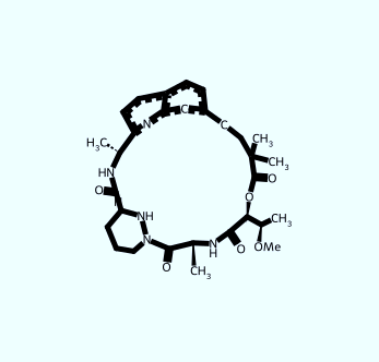 CO[C@H](C)[C@@H]1OC(=O)C(C)(C)CCc2ccc3ccc(nc3c2)[C@@H](C)NC(=O)[C@@H]2CCCN(N2)C(=O)[C@H](C)NC1=O